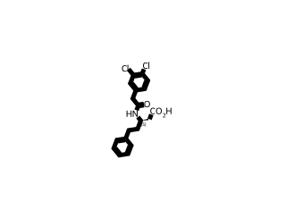 O=C(O)C[C@H](CCc1ccccc1)NC(=O)Cc1ccc(Cl)c(Cl)c1